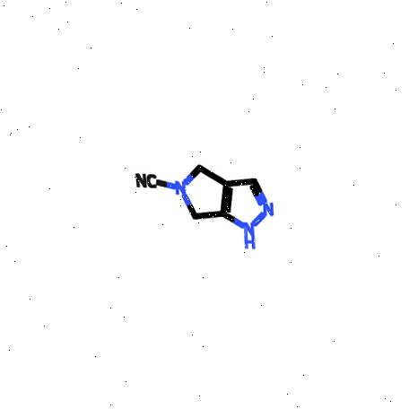 N#CN1Cc2cn[nH]c2C1